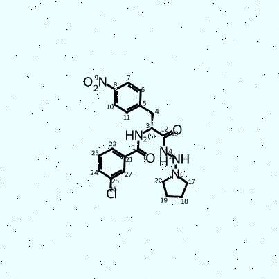 O=C(N[C@@H](Cc1ccc([N+](=O)[O-])cc1)C(=O)NNN1CCCC1)c1cccc(Cl)c1